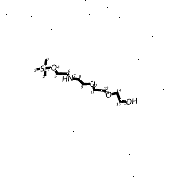 C[Si](C)(C)OCCNCCOCCOCCO